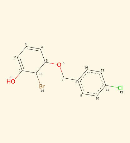 OC1=CC=CC(OCc2ccc(Cl)cc2)C1Br